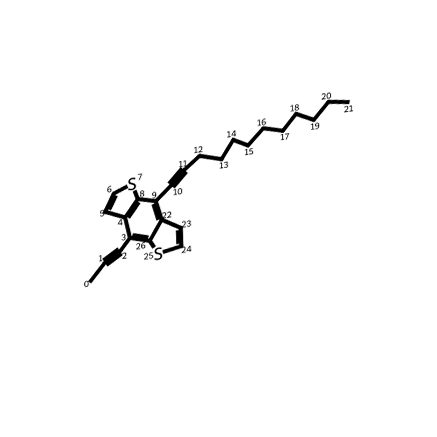 CC#Cc1c2ccsc2c(C#CCCCCCCCCCC)c2ccsc12